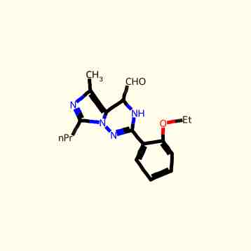 CCCc1nc(C)c2n1N=C(c1ccccc1OCC)NC2C=O